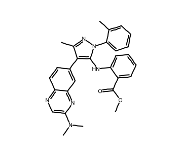 COC(=O)c1ccccc1Nc1c(-c2ccc3ncc(N(C)C)nc3c2)c(C)nn1-c1ccccc1C